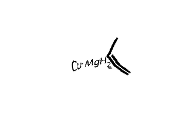 C=CC.[Cu].[MgH2]